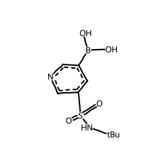 CC(C)(C)NS(=O)(=O)c1cncc(B(O)O)c1